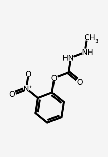 CNNC(=O)Oc1ccccc1[N+](=O)[O-]